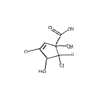 O=C(O)C1(O)C=C(Cl)C(O)C1(Cl)Cl